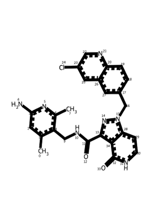 Cc1cc(N)nc(C)c1CNC(=O)c1nn(Cc2ccc3ncc(Cl)cc3c2)c2cc[nH]c(=O)c12